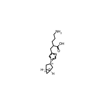 NCCCC(Cc1cn([C@H]2C[C@H]3C[C@H]3C2)cn1)C(=O)O